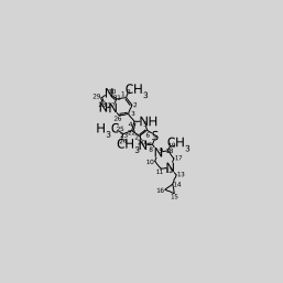 Cc1cc(-c2[nH]c3sc(N4CCN(CC5CC5)CC4C)nc3c2C(C)C)cn2ncnc12